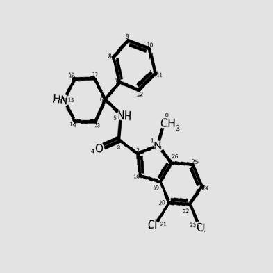 Cn1c(C(=O)NC2(c3ccccc3)CCNCC2)cc2c(Cl)c(Cl)ccc21